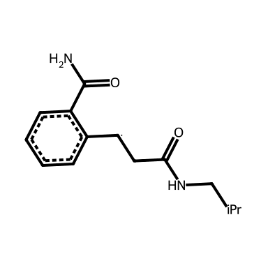 CC(C)CNC(=O)C[CH]c1ccccc1C(N)=O